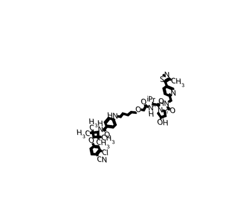 Cc1ncsc1-c1ccc(CNC(=O)[C@@H]2C[C@@H](O)CN2C(=O)[C@@H](NC(=O)COCCCCCNc2ccc(C(=O)N[C@H]3C(C)(C)[C@H](Oc4ccc(C#N)c(Cl)c4)C3(C)C)cc2)C(C)C)nc1